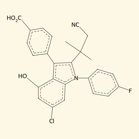 CC(C)(CC#N)c1c(-c2ccc(C(=O)O)cc2)c2c(O)cc(Cl)cc2n1-c1ccc(F)cc1